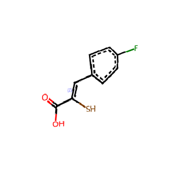 O=C(O)/C(S)=C/c1ccc(F)cc1